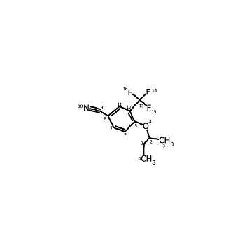 CCC(C)Oc1ccc(C#N)cc1C(F)(F)F